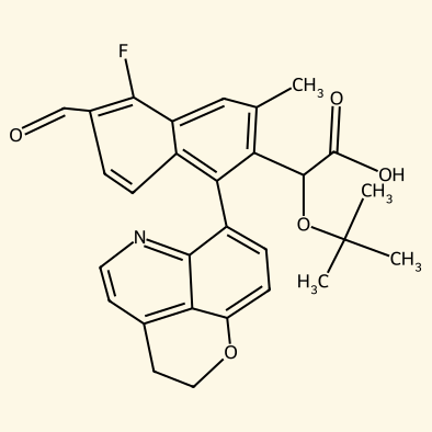 Cc1cc2c(F)c(C=O)ccc2c(-c2ccc3c4c(ccnc24)CCO3)c1C(OC(C)(C)C)C(=O)O